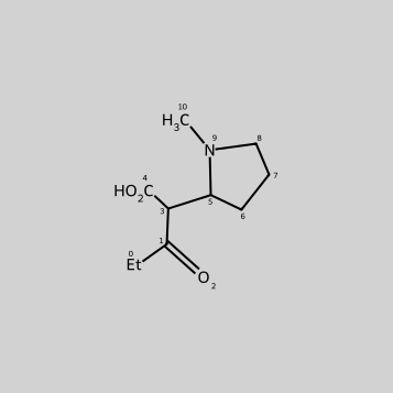 CCC(=O)C(C(=O)O)C1CCCN1C